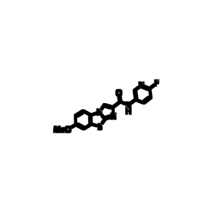 COc1ccc2c(c1)sc1nc(C(=O)Nc3ccc(F)nc3)cn12